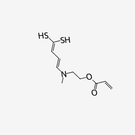 C=CC(=O)OCCN(C)/C=C/C=C(S)S